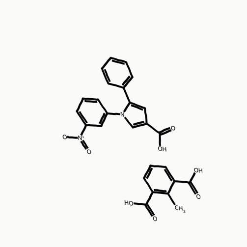 Cc1c(C(=O)O)cccc1C(=O)O.O=C(O)c1cc(-c2ccccc2)n(-c2cccc([N+](=O)[O-])c2)c1